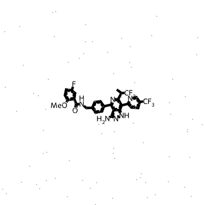 COc1ccc(F)cc1C(=O)NCc1ccc(-c2nc(C(C)C(F)(F)F)c(-c3ccc(C(F)(F)F)cn3)c3[nH]nc(N)c23)cc1